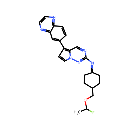 CC(F)OCC1CCC(=Nc2ncc3c(-c4ccc5nccnc5c4)ccn3n2)CC1